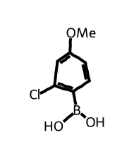 COc1ccc(B(O)O)c(Cl)c1